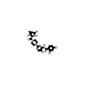 C[C@@H](Nc1nc(N2CCN(C(=O)[C@@H]3NC(=O)C4C[C@@H]43)CC2)ncc1Cl)c1ccc(Cl)cc1Cl